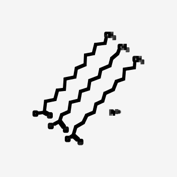 CCCCCCCCCCCCCC(=O)[O-].CCCCCCCCCCCCCC(=O)[O-].CCCCCCCCCCCCCC(=O)[O-].[Pr+3]